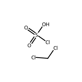 ClCCl.O=S(=O)(O)Cl